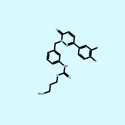 COCCCOC(=O)Nc1cccc(Cn2nc(-c3ccc(F)c(F)c3)ccc2=O)c1